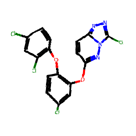 Clc1ccc(Oc2ccc(Cl)cc2Oc2ccc3nnc(Cl)n3n2)c(Cl)c1